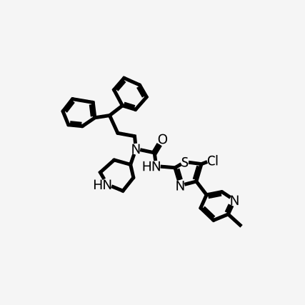 Cc1ccc(-c2nc(NC(=O)N(CCC(c3ccccc3)c3ccccc3)C3CCNCC3)sc2Cl)cn1